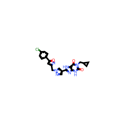 O=c1[nH]c2nc(-c3cnn(Cc4cc(-c5ccc(Cl)cc5)on4)c3)[nH]c2c(=O)n1CC1CC1